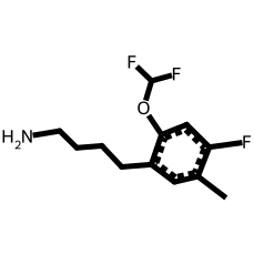 Cc1cc(CCCCN)c(OC(F)F)cc1F